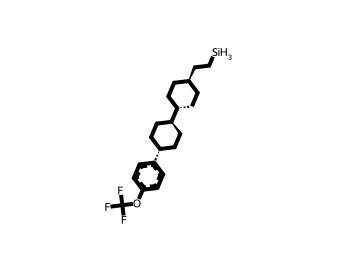 FC(F)(F)Oc1ccc([C@H]2CC[C@H]([C@H]3CC[C@H](CC[SiH3])CC3)CC2)cc1